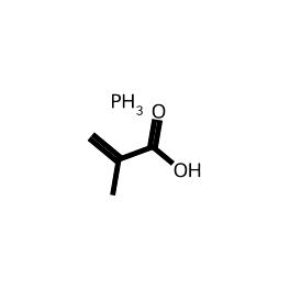 C=C(C)C(=O)O.P